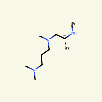 CC(C)N[C@@H](CN(C)CCCN(C)C)C(C)C